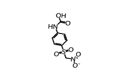 O=C(O)Nc1ccc(S(=O)(=O)C[N+](=O)[O-])cc1